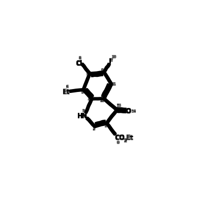 CCOC(=O)c1c[nH]c2c(CC)c(Cl)c(F)cc2c1=O